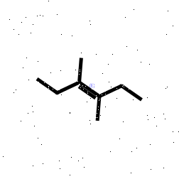 CC/C(C)=C(\C)CC